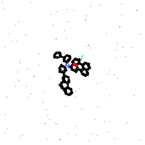 Fc1ccccc1-c1cccc2cccc(-c3ccc(N(c4cccc(-c5ccccc5)c4)c4cccc(-c5ccc6c(ccc7ccccc76)c5)c4)cc3)c12